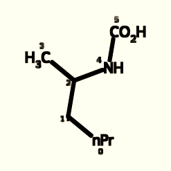 CCC[CH]C(C)NC(=O)O